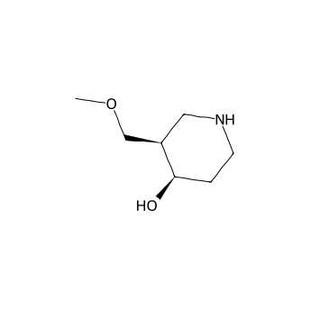 COC[C@H]1CNCC[C@H]1O